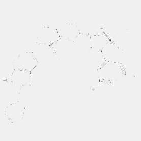 CC(Cl)(Cl)C(C(=O)Nc1ccc(Cl)c(C(=O)Nc2ccc3[nH]c(-c4ccccc4)cc3c2)c1)c1cc(Cl)cc(Cl)c1